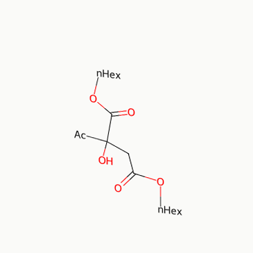 CCCCCCOC(=O)CC(O)(C(C)=O)C(=O)OCCCCCC